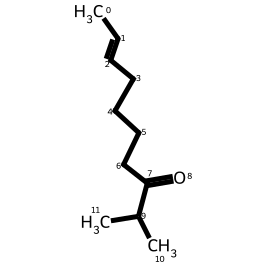 C/C=C/CCCCC(=O)C(C)C